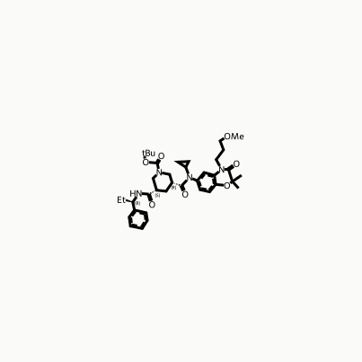 CC[C@@H](NC(=O)[C@H]1C[C@@H](C(=O)N(c2ccc3c(c2)N(CCCOC)C(=O)C(C)(C)O3)C2CC2)CN(C(=O)OC(C)(C)C)C1)c1ccccc1